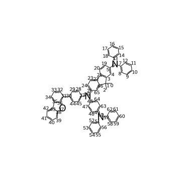 CC1(C)c2cc(N(c3ccccc3)c3ccccc3)ccc2-c2ccc(N(c3ccc(-c4cccc5c4oc4ccccc45)cc3)c3ccc(N(c4ccccc4)c4ccccc4)cc3)cc21